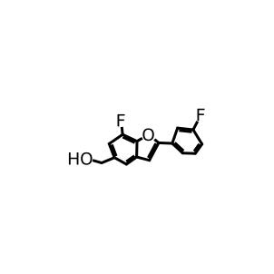 OCc1cc(F)c2oc(-c3cccc(F)c3)cc2c1